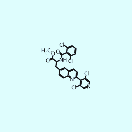 COC(=O)C(Cc1ccc2nc(-c3c(Cl)cncc3Cl)ccc2c1)NC(=O)c1c(Cl)cccc1Cl